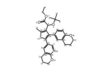 CCOC(=O)C(OC(C)(C)C)c1c(C)sc(-c2cnc3c(c2)CCCO3)c1-c1ccc2c(c1)CCCO2